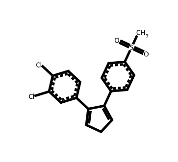 CS(=O)(=O)c1ccc(C2=CCC=C2c2ccc(Cl)c(Cl)c2)cc1